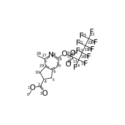 COC(=O)C1Cc2cc(OS(=O)(=O)C(F)(F)C(F)(F)C(F)(F)C(F)(F)F)nc(C)c2C1